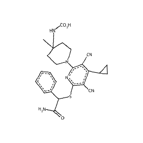 CC1(NC(=O)O)CCN(c2nc(SC(C(N)=O)c3ccccc3)c(C#N)c(C3CC3)c2C#N)CC1